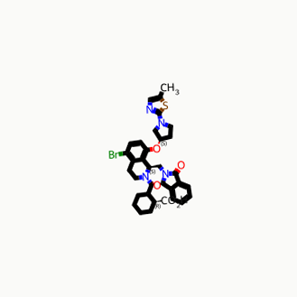 Cc1cnc(N2CC[C@H](Oc3ccc(Br)c4c3[C@@H](CN3Cc5ccccc5C3=O)N(C(=O)C3CCCC[C@H]3C(=O)O)CC4)C2)s1